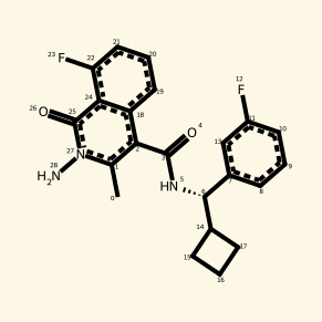 Cc1c(C(=O)N[C@H](c2cccc(F)c2)C2CCC2)c2cccc(F)c2c(=O)n1N